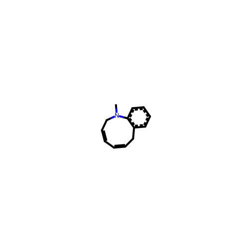 CN1C/C=C\C=C/Cc2ccccc21